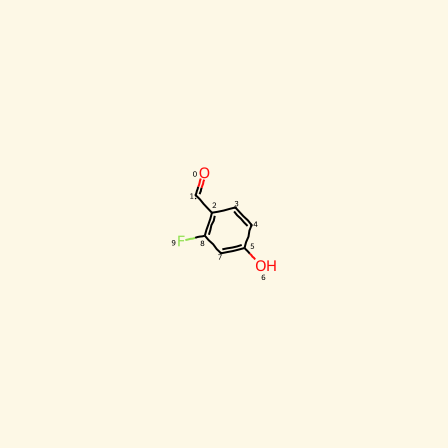 O=[C]c1ccc(O)cc1F